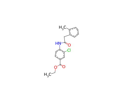 CCOC(=O)c1ccc(NC(=O)Cc2ccccc2C)c(Cl)c1